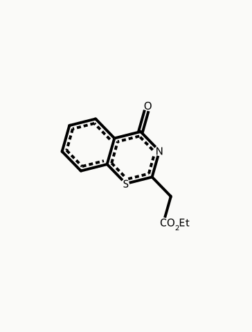 CCOC(=O)Cc1nc(=O)c2ccccc2s1